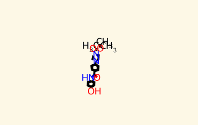 CC(C)(C)OC(=O)N1CCN(c2ccc(C(=O)Nc3ccc(O)cc3)cc2)CC1